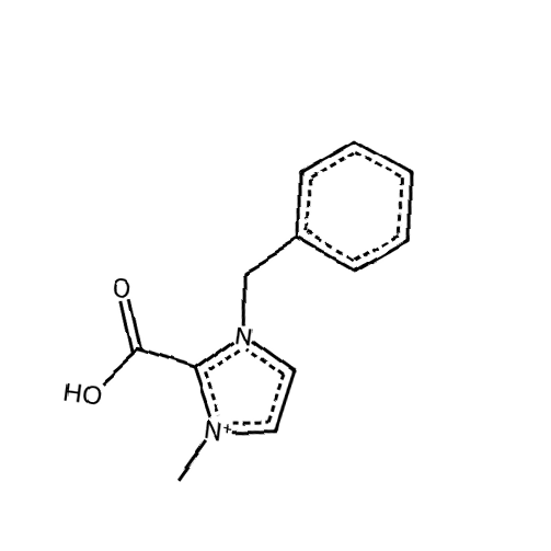 C[n+]1ccn(Cc2ccccc2)c1C(=O)O